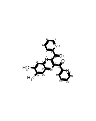 Cc1cc2nc(C(=O)c3ccccn3)c(C(=O)c3ccccn3)nc2cc1C